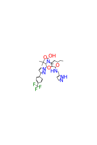 CCCC[C@@H](C(=O)C(=O)NCc1ccn[nH]1)N(C(=O)O)C(Cn1ccc(-c2ccc(C(F)(F)F)cc2)n1)C(C)(C)C